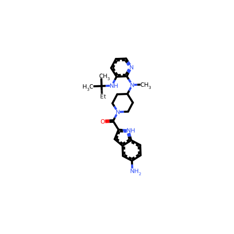 CCC(C)(C)Nc1cccnc1N(C)C1CCN(C(=O)c2cc3cc(N)ccc3[nH]2)CC1